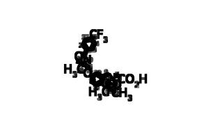 CN(C)S(=O)(=O)N(CC(=O)O)Cc1cccc(OCC2(C)COC(c3ccc(C(F)(F)F)cc3)=N2)c1